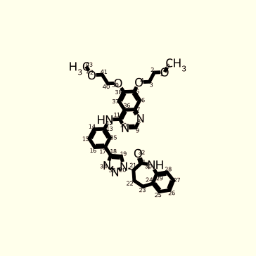 COCCOc1cc2ncnc(Nc3cccc(-c4cn([C@H]5CCc6ccccc6NC5=O)nn4)c3)c2cc1OCCOC